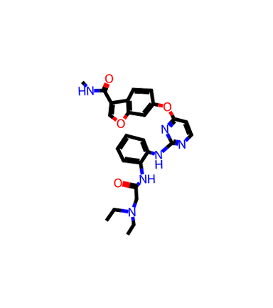 CCN(CC)CC(=O)Nc1ccccc1Nc1nccc(Oc2ccc3c(C(=O)NC)coc3c2)n1